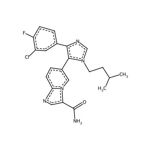 CC(C)CCn1cnc(-c2ccc(F)c(Cl)c2)c1-c1ccc2ncc(C(N)=O)n2c1